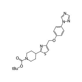 CC(C)(C)OC(=O)N1CCC(c2nc(COc3ccc(-n4cncn4)cc3)cs2)CC1